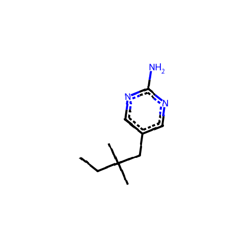 CCC(C)(C)Cc1cnc(N)nc1